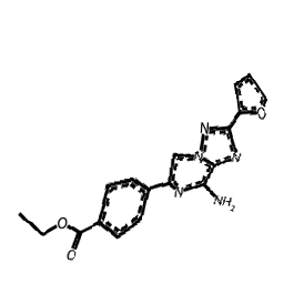 CCOC(=O)c1ccc(-c2cn3nc(-c4ccco4)nc3c(N)n2)cc1